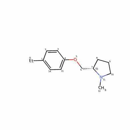 CCc1ccc(OC[C@@H]2CCCN2C)cc1